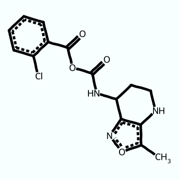 Cc1onc2c1NCCC2NC(=O)OC(=O)c1ccccc1Cl